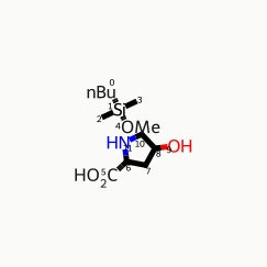 CCCC[Si](C)(C)OC.O=C(O)C1CC(O)CN1